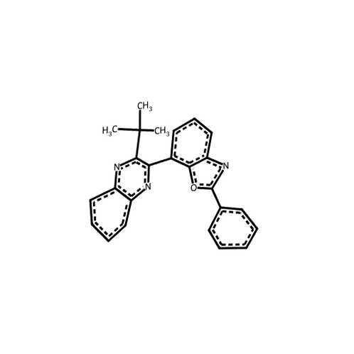 CC(C)(C)c1nc2ccccc2nc1-c1cccc2nc(-c3ccccc3)oc12